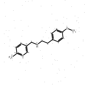 FC(F)(F)Oc1ccc(CCNCc2ccc(C(F)(F)F)nc2)cc1